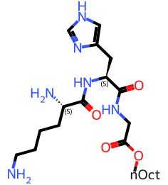 CCCCCCCCOC(=O)CNC(=O)[C@H](Cc1c[nH]cn1)NC(=O)[C@@H](N)CCCCN